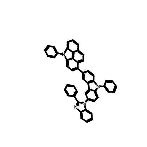 c1ccc(-c2nc3ccccc3n2-c2ccc3c(c2)c2cc(-c4ccc5c6c4ccc4cccc(c46)n5-c4ccccc4)ccc2n3-c2ccccc2)cc1